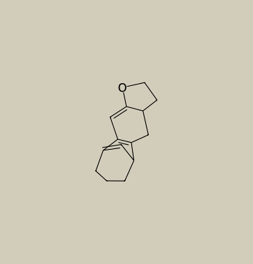 C1=C2CCCC1C1=C2C=C2OCCC2C1